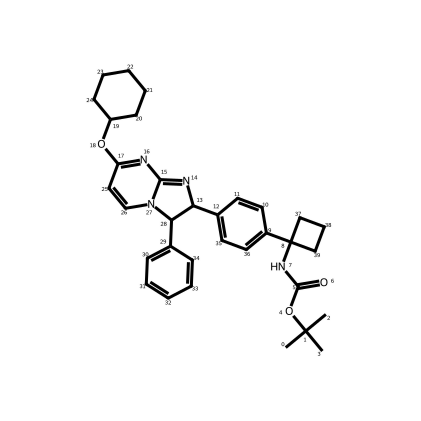 CC(C)(C)OC(=O)NC1(c2ccc(C3N=C4N=C(OC5CCCCC5)C=CN4C3c3ccccc3)cc2)CCC1